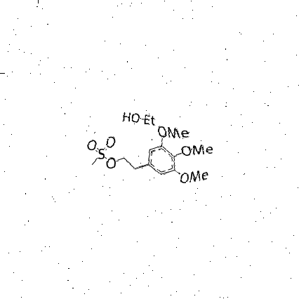 CCO.COc1cc(CCOS(C)(=O)=O)cc(OC)c1OC